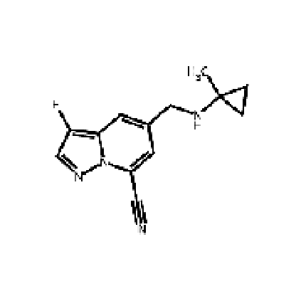 CC1(NCc2cc(C#N)n3ncc(F)c3c2)CC1